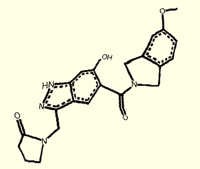 COc1ccc2c(c1)CN(C(=O)c1cc3c(CN4CCCC4=O)n[nH]c3cc1O)C2